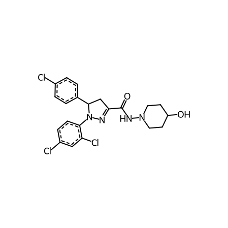 O=C(NN1CCC(O)CC1)C1=NN(c2ccc(Cl)cc2Cl)C(c2ccc(Cl)cc2)C1